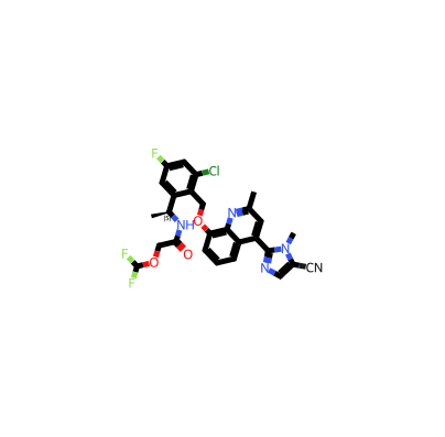 Cc1cc(-c2ncc(C#N)n2C)c2cccc(OCc3c(Cl)cc(F)cc3[C@H](C)NC(=O)COC(F)F)c2n1